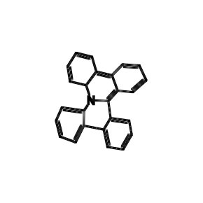 C1=CC2=c3ccccc3=C3c4ccccc4-c4ccccc4N3C2C=C1